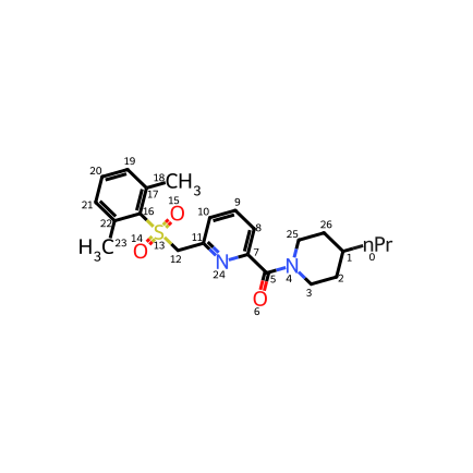 CCCC1CCN(C(=O)c2cccc(CS(=O)(=O)c3c(C)cccc3C)n2)CC1